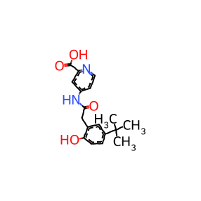 CC(C)(C)c1ccc(O)c(CC(=O)Nc2ccnc(C(=O)O)c2)c1